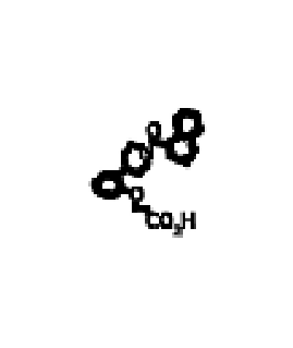 O=C(O)CCOc1ccccc1C1CCN(C(=O)c2cccc3ccccc23)CC1